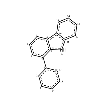 c1ccc(-c2cccc3c2[nH]c2ccccc23)nc1